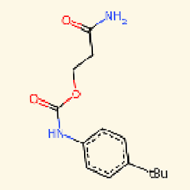 CC(C)(C)c1ccc(NC(=O)OCCC(N)=O)cc1